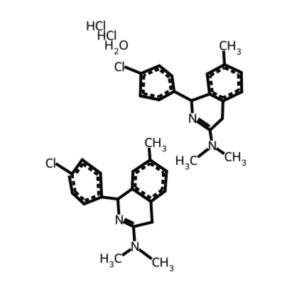 Cc1ccc2c(c1)C(c1ccc(Cl)cc1)N=C(N(C)C)C2.Cc1ccc2c(c1)C(c1ccc(Cl)cc1)N=C(N(C)C)C2.Cl.Cl.O